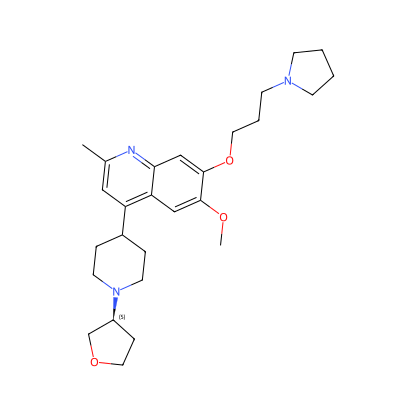 COc1cc2c(C3CCN([C@H]4CCOC4)CC3)cc(C)nc2cc1OCCCN1CCCC1